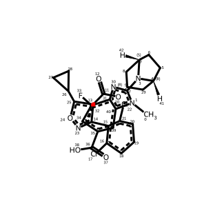 Cn1c(N2[C@@H]3CC[C@H]2C[C@@H](OC(=O)c2c(-c4c(Cl)cccc4Cl)noc2C2CC2)C3)nc2c(F)cc(C(=O)O)cc21